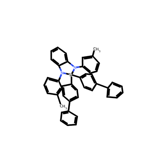 Cc1cccc(N2c3ccccc3N(c3cccc(C)c3)[Si]2(c2ccc(-c3ccccc3)cc2)c2ccc(-c3ccccc3)cc2)c1